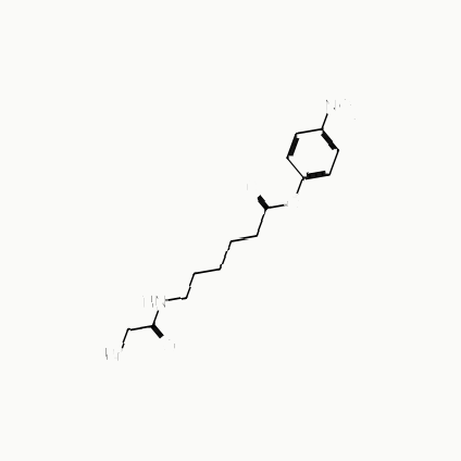 O=C(CBr)NCCCCCC(=O)Oc1ccc([N+](=O)[O-])cc1